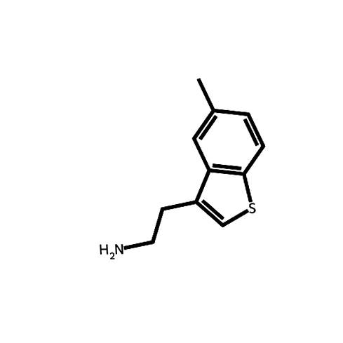 Cc1ccc2scc(CCN)c2c1